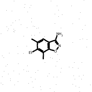 CCc1c(C)cc2c(N)noc2c1C